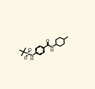 CC1CCC(NC(=O)c2ccc(NS(=O)(=O)C(C)(C)C)cc2)CC1